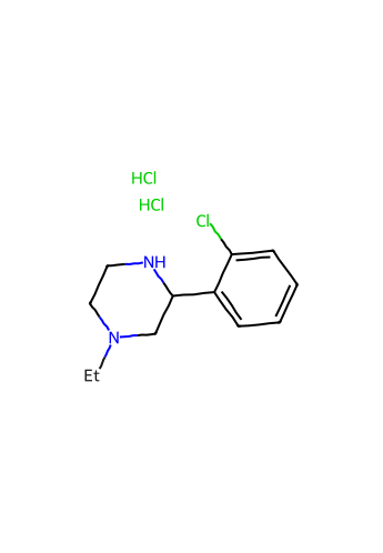 CCN1CCNC(c2ccccc2Cl)C1.Cl.Cl